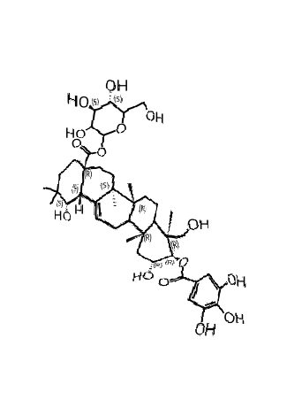 CC1(C)CC[C@]2(C(=O)OC3OC(CO)[C@@H](O)[C@H](O)C3O)CC[C@]3(C)C(=CCC4[C@@]5(C)C[C@@H](O)[C@H](OC(=O)c6cc(O)c(O)c(O)c6)[C@@](C)(CO)C5CC[C@]43C)[C@@H]2[C@@H]1O